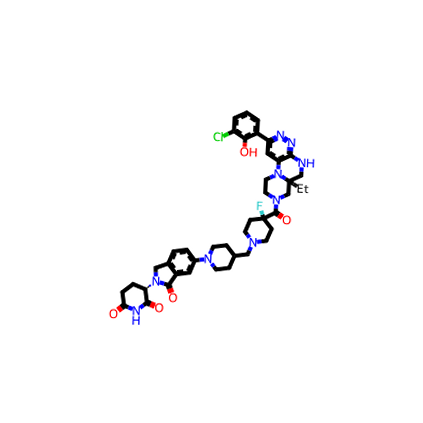 CCC12CNc3nnc(-c4cccc(Cl)c4O)cc3N1CCN(C(=O)C1(F)CCN(CC3CCN(c4ccc5c(c4)C(=O)N([C@H]4CCC(=O)NC4=O)C5)CC3)CC1)C2